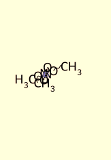 CCCCOC(=O)/N=N/C(=O)OC(C)C